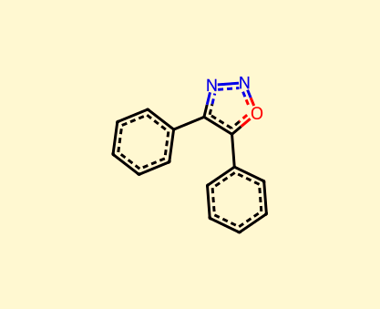 c1ccc(-c2nnoc2-c2ccccc2)cc1